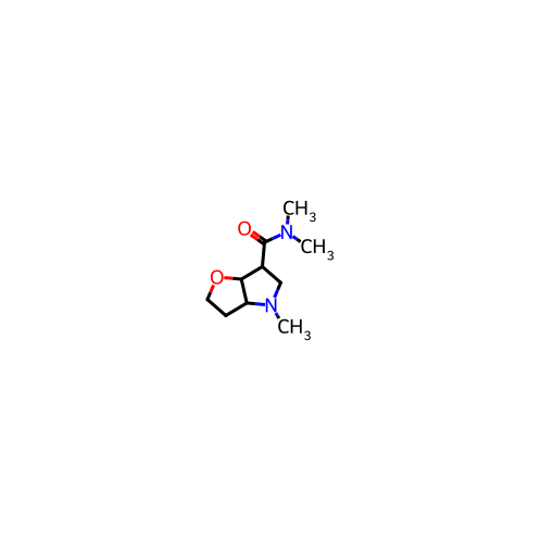 CN(C)C(=O)C1CN(C)C2CCOC12